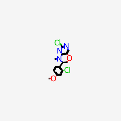 COc1ccc(C2COc3cnc(Cl)nc3N2C)c(Cl)c1